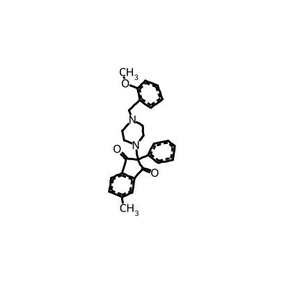 COc1ccccc1CN1CCN(C2(c3ccccc3)C(=O)c3ccc(C)cc3C2=O)CC1